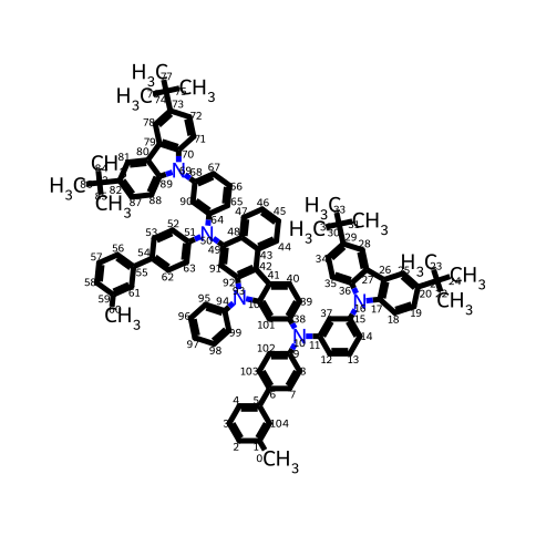 Cc1cccc(-c2ccc(N(c3cccc(-n4c5ccc(C(C)(C)C)cc5c5cc(C(C)(C)C)ccc54)c3)c3ccc4c5c6ccccc6c(N(c6ccc(-c7cccc(C)c7)cc6)c6cccc(-n7c8ccc(C(C)(C)C)cc8c8cc(C(C)(C)C)ccc87)c6)cc5n(-c5ccccc5)c4c3)cc2)c1